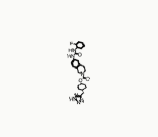 O=C(Nc1ccc2c(c1)CCN(C(=O)O[C@H]1CC[C@H](Cc3nn[nH]n3)CC1)C2)Nc1ccccc1F